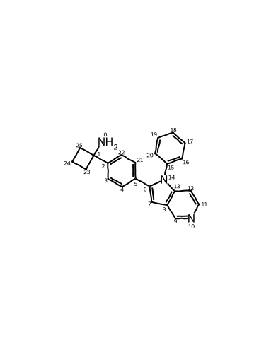 NC1(c2ccc(-c3cc4cnccc4n3-c3ccccc3)cc2)CCC1